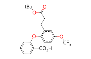 CC(C)(C)OC(=O)CCc1cc(OC(F)(F)F)ccc1Oc1ccccc1C(=O)O